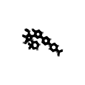 C=Nc1c(-c2cc(-c3ccc(N4CCC(N(C)C)CC4)cc3)ccc2C)n(C2CCOCC2(C)C)c(=O)n1C